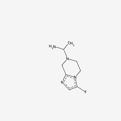 CC(N)N1CCn2c(F)cnc2C1